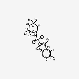 Cc1ccc2sc(S(=O)(=O)N3CC4(C)CC3CC(C)(C)C4)c(C)c2c1